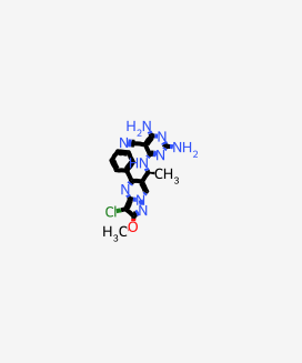 COc1nn2cc([C@H](C)Nc3nc(N)nc(N)c3C#N)c(-c3ccccc3)nc2c1Cl